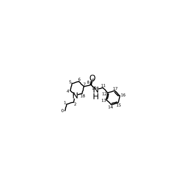 CCCN1CCCC(C(=O)NCc2ccccc2)C1